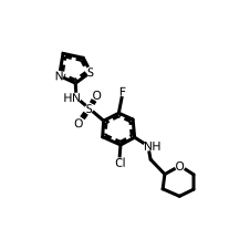 O=S(=O)(Nc1nccs1)c1cc(Cl)c(NCC2CCCCO2)cc1F